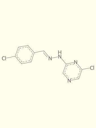 Clc1ccc(/C=N/Nc2cncc(Cl)n2)cc1